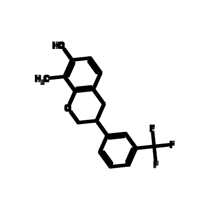 Cc1c(O)ccc2c1OCC(c1cccc(C(F)(F)F)c1)C2